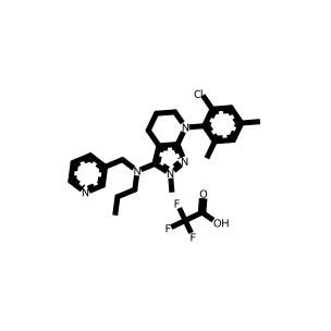 CCCN(Cc1cccnc1)c1c2c(nn1C)N(c1c(C)cc(C)cc1Cl)CCC2.O=C(O)C(F)(F)F